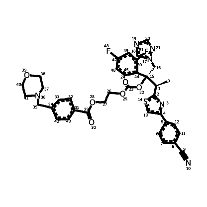 C[C@@H](c1nc(-c2ccc(C#N)cc2)cs1)[C@@](Cn1cncn1)(OC(=O)OCCOC(=O)c1ccc(CN2CCOCC2)cc1)c1ccc(F)cc1F